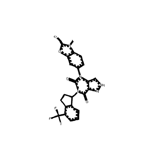 Cn1c(=O)oc2cc(-n3c(=O)n(C4CCc5c4cccc5C(F)(F)F)c(=O)c4n[nH]cc43)ccc21